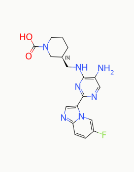 Nc1cnc(-c2cnc3ccc(F)cn23)nc1NC[C@@H]1CCCN(C(=O)O)C1